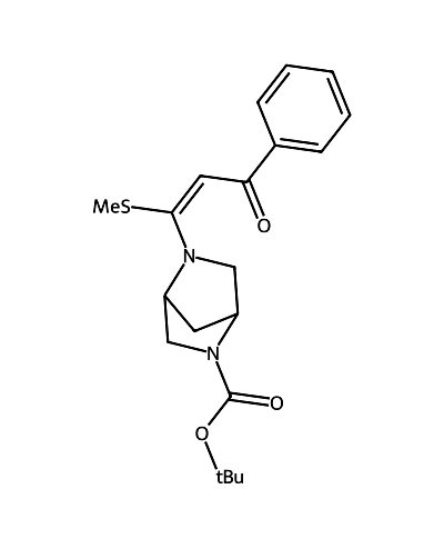 CS/C(=C/C(=O)c1ccccc1)N1CC2CC1CN2C(=O)OC(C)(C)C